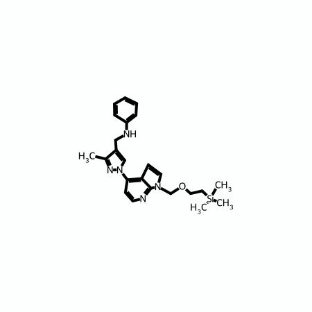 Cc1nn(-c2ccnc3c2ccn3COCC[Si](C)(C)C)cc1CNc1ccccc1